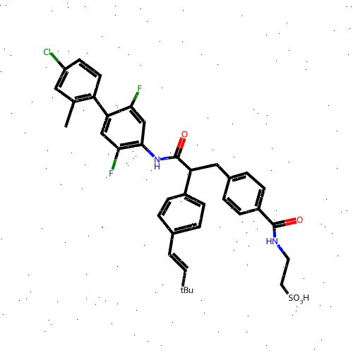 Cc1cc(Cl)ccc1-c1cc(F)c(NC(=O)C(Cc2ccc(C(=O)NCCS(=O)(=O)O)cc2)c2ccc(/C=C/C(C)(C)C)cc2)cc1F